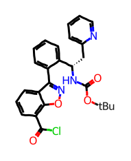 CC(C)(C)OC(=O)N[C@@H](Cc1ccccn1)c1ccccc1-c1noc2c(C(=O)Cl)cccc12